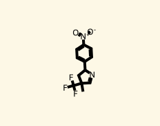 CC1(C(F)(F)F)C=NC(c2ccc([N+](=O)[O-])cc2)C1